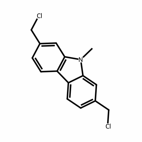 Cn1c2cc(CCl)ccc2c2ccc(CCl)cc21